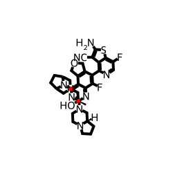 C[C@@H](O)CN1CC2CCC(C1)N2c1nc(N2CCN3CCC[C@H]3C2)nc2c(F)c(-c3ncc(F)c4sc(N)c(C#N)c34)c3c(c12)COC3